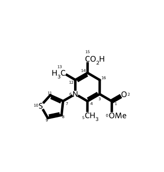 COC(=O)C1=C(C)N(c2ccsc2)C(C)=C(C(=O)O)C1